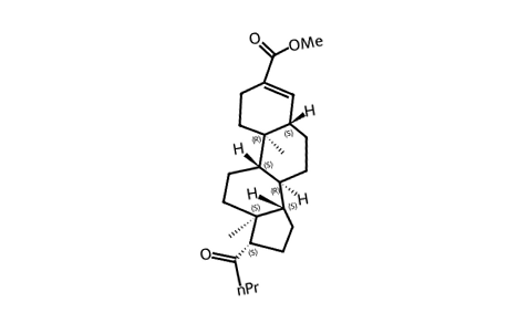 CCCC(=O)[C@H]1CC[C@H]2[C@@H]3CC[C@H]4C=C(C(=O)OC)CC[C@]4(C)[C@H]3CC[C@]12C